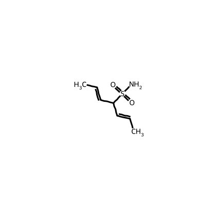 CC=CC(C=CC)S(N)(=O)=O